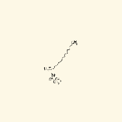 C=C(C)C(=O)NCC(C)CCCCCCCCCCCCCC